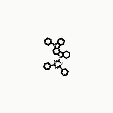 c1ccc(-c2nc(-c3ccccc3)nc(-p3c4c(c5c6c7ccccc7n(-c7ccccc7)c6ccc53)CCCC4)n2)cc1